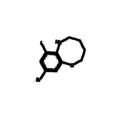 Brc1cc(I)c2c(c1)OCCCCN2